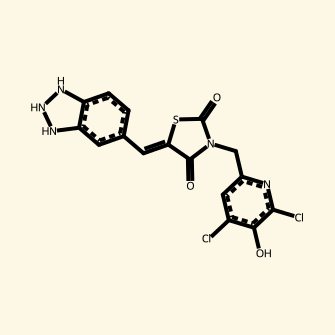 O=C1S/C(=C\c2ccc3c(c2)NNN3)C(=O)N1Cc1cc(Cl)c(O)c(Cl)n1